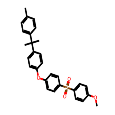 COc1ccc(S(=O)(=O)c2ccc(Oc3ccc(C(C)(C)c4ccc(C)cc4)cc3)cc2)cc1